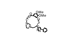 COc1cc2cc(c1OC)OCCCC(n1cc(-c3ccccc3)nn1)CCN1CCCN(CCCOC2=O)CC1